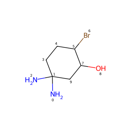 NC1(N)CCC(Br)C(O)C1